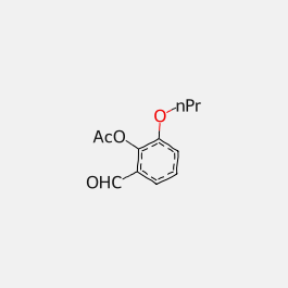 CCCOc1cccc(C=O)c1OC(C)=O